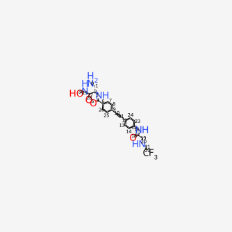 NC[C@H](NC(=O)c1ccc(C#Cc2ccc(NC(=O)CNCC(F)(F)F)cc2)cc1)C(=O)NO